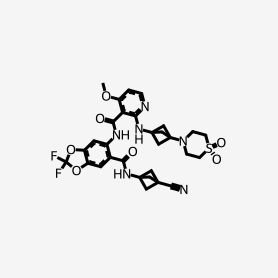 COc1ccnc(NC23CC(N4CCS(=O)(=O)CC4)(C2)C3)c1C(=O)Nc1cc2c(cc1C(=O)NC13CC(C#N)(C1)C3)OC(F)(F)O2